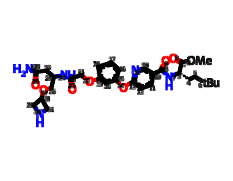 COC(=O)[C@H](CCC(C)(C)C)NC(=O)c1ccc(Oc2cccc(OCC(=O)NC(COC3CNC3)CC(N)=O)c2)nc1